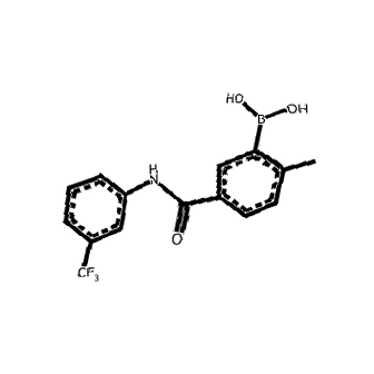 Cc1ccc(C(=O)Nc2cccc(C(F)(F)F)c2)cc1B(O)O